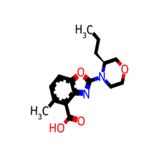 CCC[C@H]1COCCN1c1nc2c(C(=O)O)c(C)ccc2o1